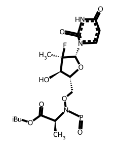 CCC(C)OC(=O)[C@H](C)N(OC[C@H]1O[C@@H](n2ccc(=O)[nH]c2=O)[C@](C)(F)[C@@H]1O)P=O